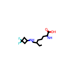 CCC(CCCC(=N)C(=O)O)CNC1CC(F)(F)C1